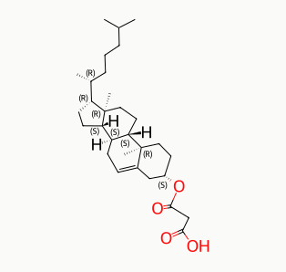 CC(C)CCC[C@@H](C)[C@H]1CC[C@H]2[C@@H]3CC=C4C[C@@H](OC(=O)CC(=O)O)CC[C@]4(C)[C@H]3CC[C@]12C